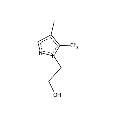 Cc1cnn(CCO)c1C(F)(F)F